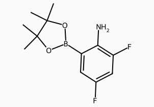 CC1(C)OB(c2cc(F)cc(F)c2N)OC1(C)C